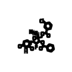 [N-]=[N+]=N[C@@]1(COC(=O)c2cccc(Cl)c2)O[C@H](n2ccc(=O)[nH]c2=O)C(F)C1OC(=O)c1ccccc1